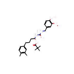 COc1cc(CNC(=O)NC(CCCc2ccc(C)c(C)c2)OC(=O)C(C)(C)C)ccc1O